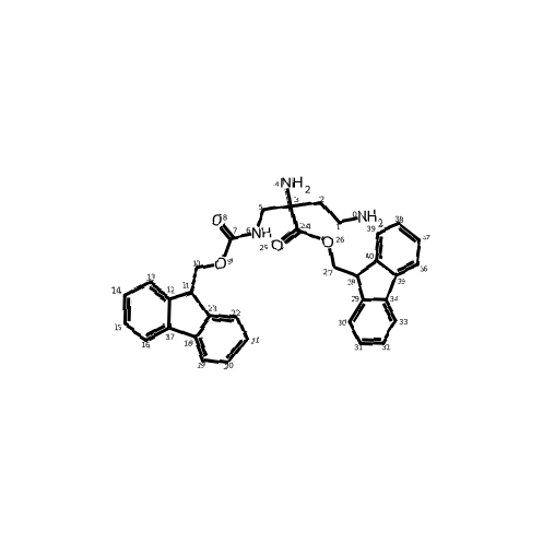 NCCC(N)(CNC(=O)OCC1c2ccccc2-c2ccccc21)C(=O)OCC1c2ccccc2-c2ccccc21